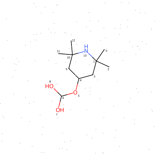 CC1(C)CC(OC(O)O)CC(C)(C)N1